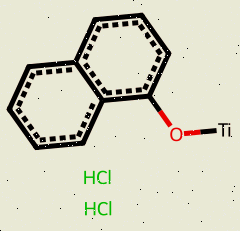 Cl.Cl.[Ti][O]c1cccc2ccccc12